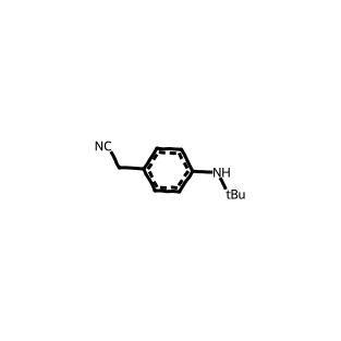 CC(C)(C)Nc1ccc(CC#N)cc1